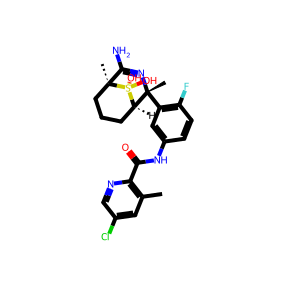 Cc1cc(Cl)cnc1C(=O)Nc1ccc(F)c([C@@]2(C)N=C(N)[C@]3(C)CCC[C@H]2S3(O)O)c1